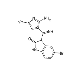 CCCn1cc(C(=N)C2C(=O)Nc3ccc(Br)cc32)c(N)n1